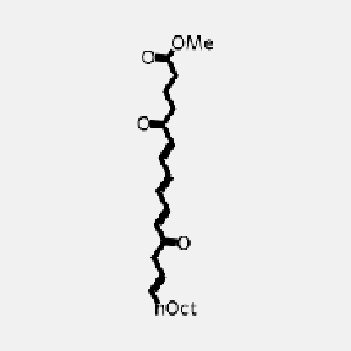 CCCCCCCCC=CCC(=O)C=CC=CC=CC(=O)CCCC(=O)OC